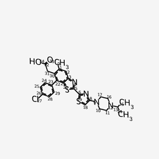 Cc1cc2nc(-c3nc(N4CCN(C(C)C)CC4)cs3)sc2c(-c2ccc(Cl)cc2)c1CC(=O)O